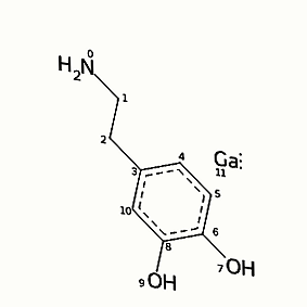 NCCc1ccc(O)c(O)c1.[Ga]